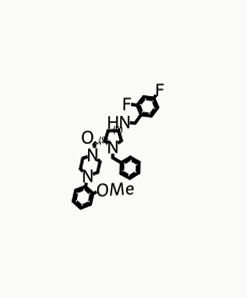 COc1ccccc1N1CCN(C(=O)[C@@H]2C[C@@H](NCc3ccc(F)cc3F)CN2Cc2ccccc2)CC1